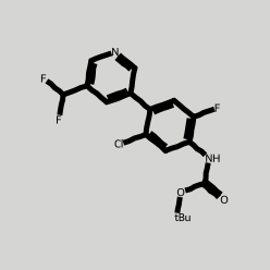 CC(C)(C)OC(=O)Nc1cc(Cl)c(-c2cncc(C(F)F)c2)cc1F